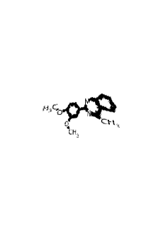 COc1ccc(-c2nc(C)c3ccccc3n2)cc1OC